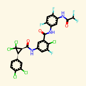 O=C(Nc1cc(NC(=O)C(F)F)c(F)cc1F)c1cc(NC(=O)[C@H]2[C@H](c3ccc(Cl)c(Cl)c3)C2(Cl)Cl)cc(F)c1Cl